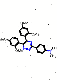 COc1ccc(-c2nnc(-c3ccc(N(C)C)cc3)nc2-c2ccc(OC)cc2OC)c(OC)c1